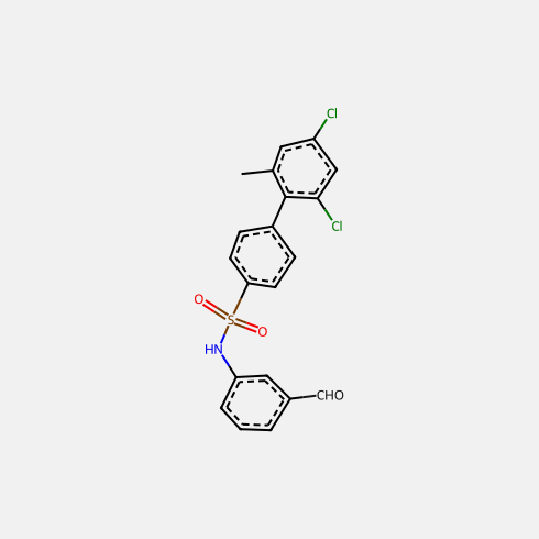 Cc1cc(Cl)cc(Cl)c1-c1ccc(S(=O)(=O)Nc2cccc(C=O)c2)cc1